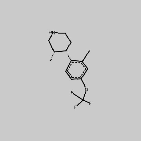 Cc1cc(OC(F)(F)F)ccc1[C@H]1CCNC[C@H]1C